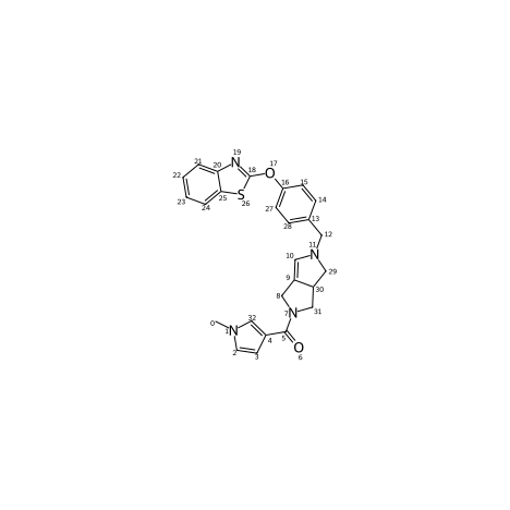 Cn1ccc(C(=O)N2CC3=CN(Cc4ccc(Oc5nc6ccccc6s5)cc4)CC3C2)c1